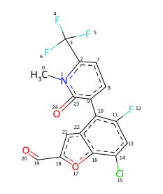 Cn1c(C(F)(F)F)ccc(-c2c(F)cc(Cl)c3oc(C=O)cc23)c1=O